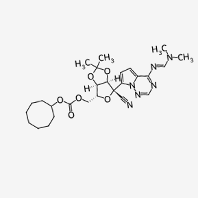 CN(C)C=Nc1ncnn2c([C@]3(C#N)O[C@H](COC(=O)OC4CCCCCCC4)[C@H]4OC(C)(C)O[C@H]43)ccc12